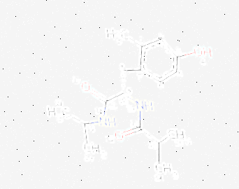 Cc1cc(O)ccc1C[C@H](NC(=O)C(C)C)C(=O)NC(C)C